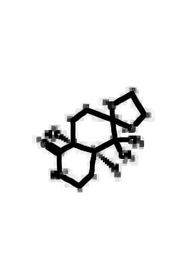 CC1(C)[C@H]2CCNC(=O)[C@@]2(C)CCC12OCCO2